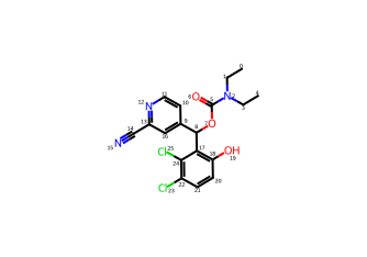 CCN(CC)C(=O)OC(c1ccnc(C#N)c1)c1c(O)ccc(Cl)c1Cl